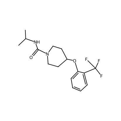 CC(C)NC(=O)N1CCC(Oc2ccccc2C(F)(F)F)CC1